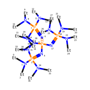 CCN(CC)P(=N[PH](N=P(N(CC)CC)(N(CC)CC)N(CC)CC)(N=P(N(CC)CC)(N(CC)CC)N(CC)CC)N(CC)CC)(N(CC)CC)N(CC)CC